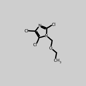 CCOCn1c(Cl)nc(Cl)c1Cl